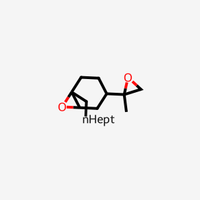 CCCCCCCCC12CCC(C3(C)CO3)CC1O2